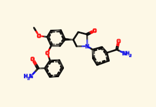 COc1ccc([C@H]2CC(=O)N(c3cccc(C(N)=O)c3)C2)cc1Oc1ccccc1C(N)=O